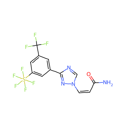 NC(=O)/C=C\n1cnc(-c2cc(C(F)(F)F)cc(S(F)(F)(F)(F)F)c2)n1